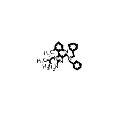 Cc1cccc2nc(N(Cc3ccccc3)Cc3ccccc3)c3nc(N)n(CC(C)C)c3c12